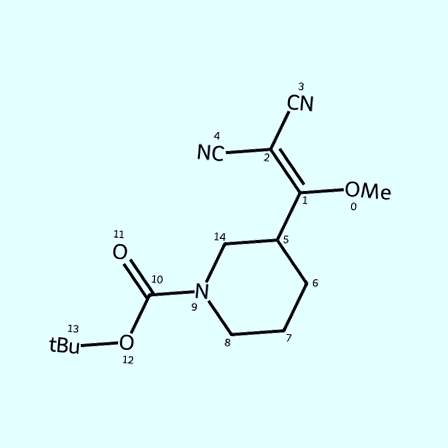 COC(=C(C#N)C#N)C1CCCN(C(=O)OC(C)(C)C)C1